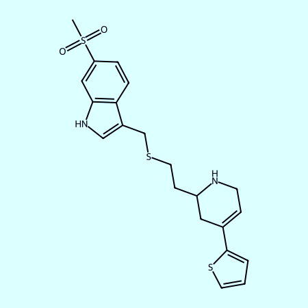 CS(=O)(=O)c1ccc2c(CSCCC3CC(c4cccs4)=CCN3)c[nH]c2c1